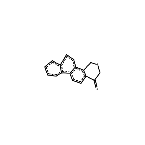 O=C1CSCc2c1ccc1c2ccc2ccccc21